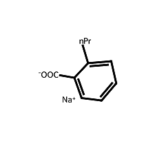 CCCc1ccccc1C(=O)[O-].[Na+]